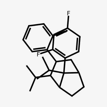 CC(C)C1C(c2ccccc2F)CC2CCC1C2(c1ccc(F)cc1F)C(C)C